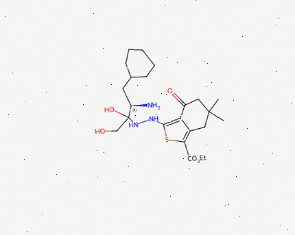 CCOC(=O)c1sc(NNC(O)(CO)[C@H](N)CC2CCCCC2)c2c1CC(C)(C)CC2=O